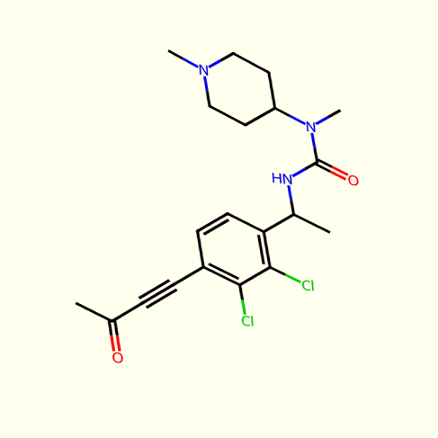 CC(=O)C#Cc1ccc(C(C)NC(=O)N(C)C2CCN(C)CC2)c(Cl)c1Cl